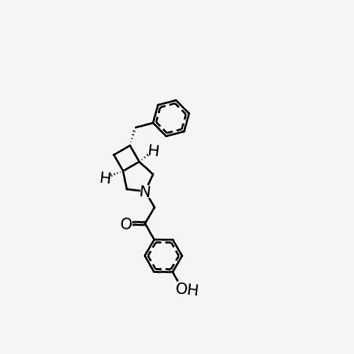 O=C(CN1C[C@H]2C[C@H](Cc3ccccc3)[C@H]2C1)c1ccc(O)cc1